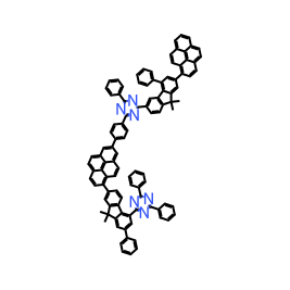 CC1(C)c2ccc(-c3nc(-c4ccccc4)nc(-c4ccc(-c5cc6ccc7ccc(-c8ccc9c(c8)C(C)(C)c8cc(-c%10ccccc%10)cc(-c%10nc(-c%11ccccc%11)nc(-c%11ccccc%11)n%10)c8-9)c8ccc(c5)c6c78)cc4)n3)cc2-c2c(-c3ccccc3)cc(-c3ccc4ccc5cccc6ccc3c4c56)cc21